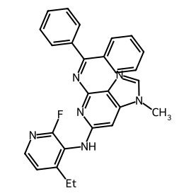 CCc1ccnc(F)c1Nc1cc2c(ncn2C)c(N=C(c2ccccc2)c2ccccc2)n1